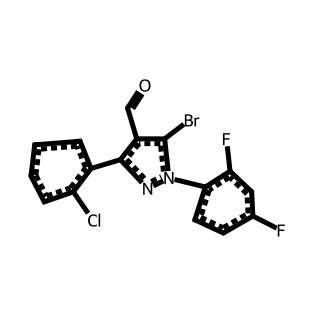 O=Cc1c(-c2ccccc2Cl)nn(-c2ccc(F)cc2F)c1Br